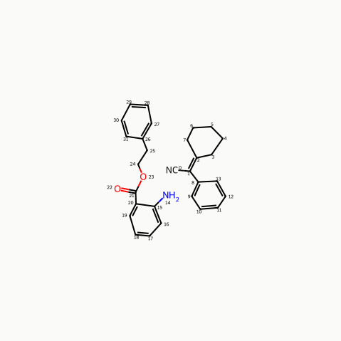 N#CC(=C1CCCCC1)c1ccccc1.Nc1ccccc1C(=O)OCCc1ccccc1